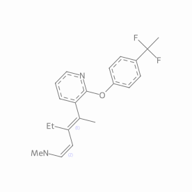 CCC(/C=C\NC)=C(/C)c1cccnc1Oc1ccc(C(C)(F)F)cc1